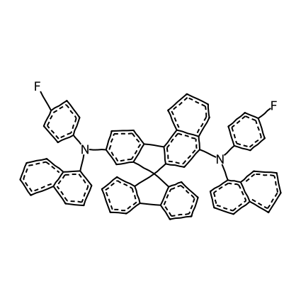 Fc1ccc(N(c2ccc3c(c2)C2(c4ccccc4-c4ccccc42)c2cc(N(c4ccc(F)cc4)c4cccc5ccccc45)c4ccccc4c2-3)c2cccc3ccccc23)cc1